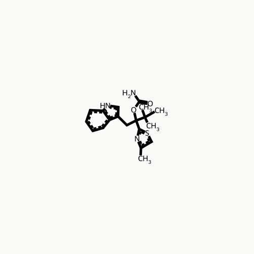 Cc1csc(C(Cc2c[nH]c3ccccc23)(OC(N)=O)C(C)(C)C)n1